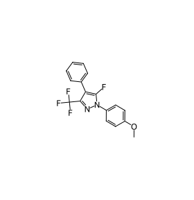 COc1ccc(-n2nc(C(F)(F)F)c(-c3ccccc3)c2F)cc1